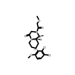 COCC(=O)N1CC(=O)N2CC[C@@H](c3c(OC)ccc(Cl)c3Cl)C[C@H]2[C@@H]1C